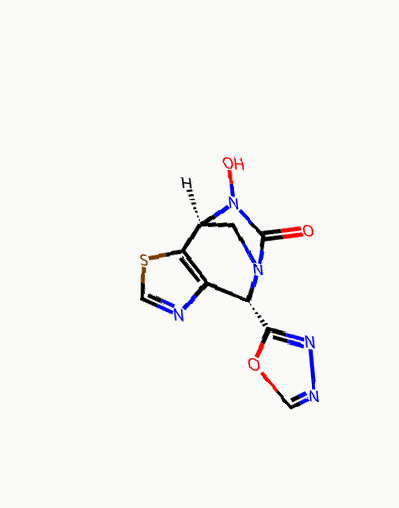 O=C1N(O)[C@H]2CN1[C@H](c1nnco1)c1ncsc12